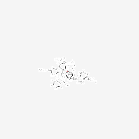 COCCO[C@@H]1[C@H](O)[C@@H](C(OC(c2ccccc2)(c2ccc(OC)cc2)c2ccc(OC)cc2)C(=O)c2ccccc2)O[C@H]1n1cnc2c(N)ncnc21